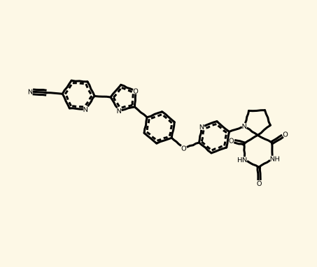 N#Cc1ccc(-c2coc(-c3ccc(Oc4ccc(N5CCCC56C(=O)NC(=O)NC6=O)cn4)cc3)n2)nc1